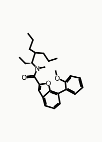 CCCC(CCC)[C@H](CC)N(C)C(=O)c1cc2cccc(-c3ccccc3OC)c2o1